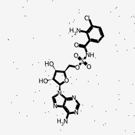 Nc1c(Cl)cccc1C(=O)NS(=O)(=O)OC[C@H]1O[C@@H](n2cnc3c(N)ncnc32)[C@H](O)[C@@H]1O